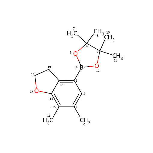 Cc1cc(B2OC(C)(C)C(C)(C)O2)c2c(c1C)OCC2